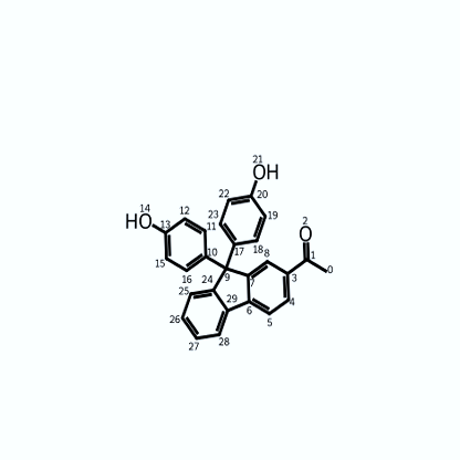 CC(=O)c1ccc2c(c1)C(c1ccc(O)cc1)(c1ccc(O)cc1)c1ccccc1-2